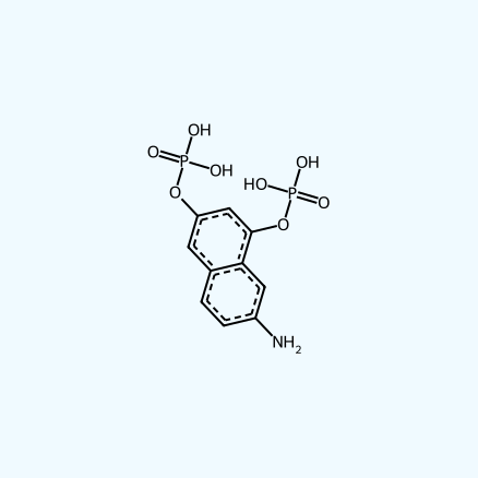 Nc1ccc2cc(OP(=O)(O)O)cc(OP(=O)(O)O)c2c1